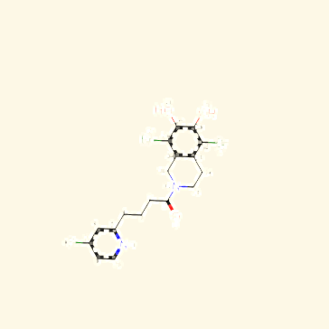 O=C(CCCc1cc(F)ccn1)N1CCc2c(Br)c(O)c(O)c(Br)c2C1